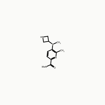 CNC(=O)c1ccc(N(C)C2CNC2)c(C)n1